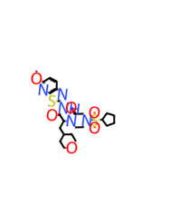 COc1ccc2nc(NC(=O)C(CC3CCOCC3)N3CCN(S(=O)(=O)C4CCCC4)CC3=O)sc2n1